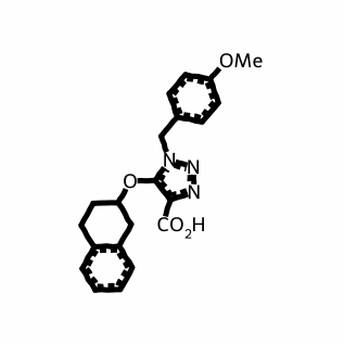 COc1ccc(Cn2nnc(C(=O)O)c2OC2CCc3ccccc3C2)cc1